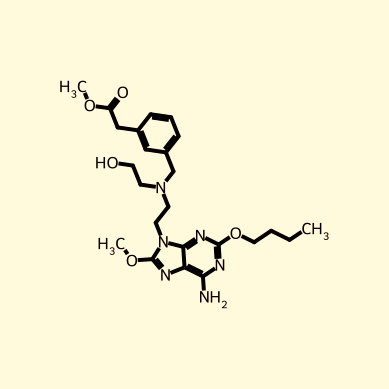 CCCCOc1nc(N)c2nc(OC)n(CCN(CCO)Cc3cccc(CC(=O)OC)c3)c2n1